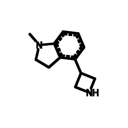 CN1CCc2c(C3CNC3)cccc21